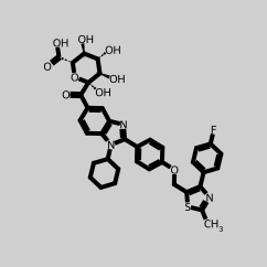 Cc1nc(-c2ccc(F)cc2)c(COc2ccc(-c3nc4cc(C(=O)[C@@]5(O)O[C@H](C(=O)O)[C@@H](O)[C@H](O)[C@H]5O)ccc4n3C3CCCCC3)cc2)s1